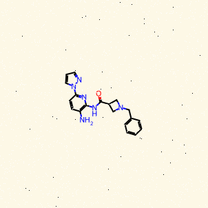 Nc1ccc(-n2cccn2)nc1NC(=O)C1CN(Cc2ccccc2)C1